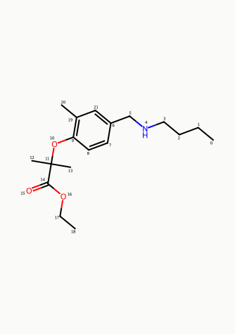 CCCCNCc1ccc(OC(C)(C)C(=O)OCC)c(C)c1